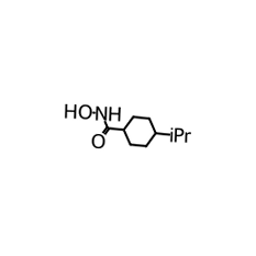 CC(C)C1CCC(C(=O)NO)CC1